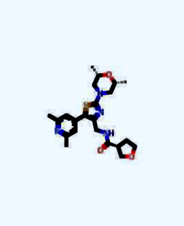 Cc1cc(-c2sc(N3C[C@@H](C)O[C@@H](C)C3)nc2CNC(=O)[C@H]2CCOC2)cc(C)n1